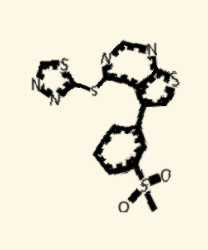 CS(=O)(=O)c1cccc(-c2csc3ncnc(Sc4nncs4)c23)c1